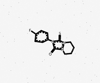 O=c1n(-c2ccc(F)cc2)c(=S)n2n1CCCC2